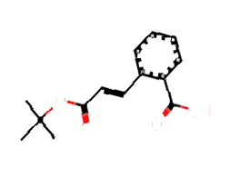 CC(C)(C)OC(=O)C=Cc1ccccc1C(=O)O